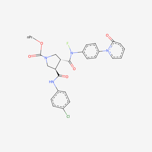 CCCOC(=O)N1C[C@H](C(=O)Nc2ccc(Cl)cc2)[C@@H](C(=O)N(F)c2ccc(-n3ccccc3=O)cc2)C1